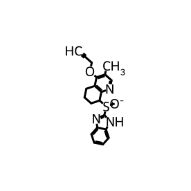 C#CCOc1c(C)cnc2c1CCCC2[S+]([O-])c1nc2ccccc2[nH]1